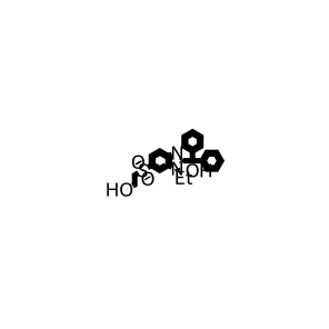 CCn1c(C(O)(c2ccccc2)c2ccccc2)nc2ccc(S(=O)(=O)CCO)cc21